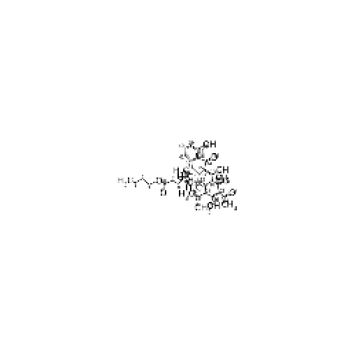 CCCCOC(=O)CCC(=O)O[C@@H]1[C@]2(C)C(=C(O)[C@@]3(O)C(=O)C(C(C)=O)=C(O)C(C(C)C)[C@@]13C)C(=O)c1c(O)cccc1[C@H]2C